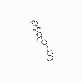 NCC1CCN(CCc2ccc(-n3ccc(NC(=O)N4CCNCC4)nc3=O)cc2)CC1